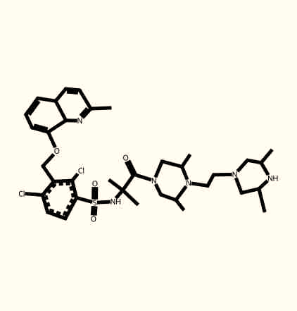 CC1=NC2C(OCc3c(Cl)ccc(S(=O)(=O)NC(C)(C)C(=O)N4CC(C)N(CCN5CC(C)NC(C)C5)C(C)C4)c3Cl)=CC=CC2C=C1